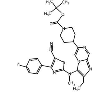 CCc1nc2cnc(C3CCN(C(=O)OC(C)(C)C)CC3)cn2c1N(C)c1nc(-c2ccc(F)cc2)c(C#N)s1